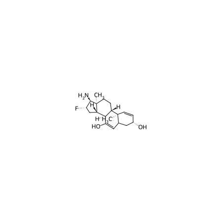 C[C@]12CC[C@H]3[C@@H](C(O)=CC4C[C@@H](O)C=C[C@@]43C)[C@@H]1C[C@H](F)[C@H]2N